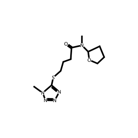 CN(C(=O)CCCSc1nnnn1C)C1CCCO1